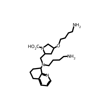 NCCCCOC1CC(CN(CCCCN)C2CCCc3cccnc32)N(C(=O)O)C1